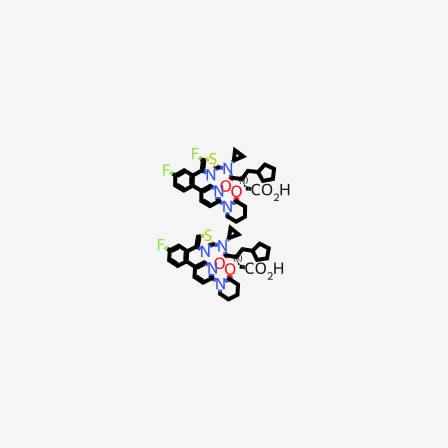 O=C(O)C[C@@H](CC1CCCC1)C(=O)N(c1nc(-c2cc(F)ccc2-c2ccc(N3CCCCC3=O)nc2)c(F)s1)C1CC1.O=C(O)C[C@@H](CC1CCCC1)C(=O)N(c1nc(-c2cc(F)ccc2-c2ccc(N3CCCCC3=O)nc2)cs1)C1CC1